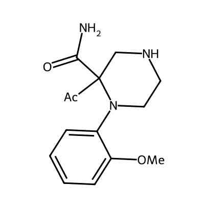 COc1ccccc1N1CCNCC1(C(C)=O)C(N)=O